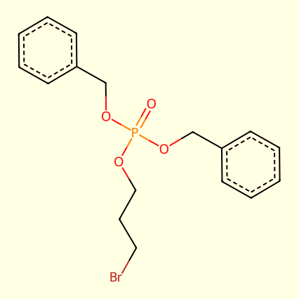 O=P(OCCCBr)(OCc1ccccc1)OCc1ccccc1